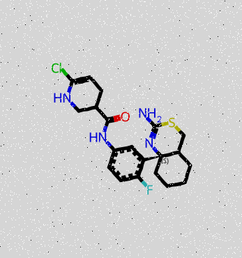 NC1=N[C@@]2(c3cc(NC(=O)C4CC=C(Cl)NC4)ccc3F)CCCCC2CS1